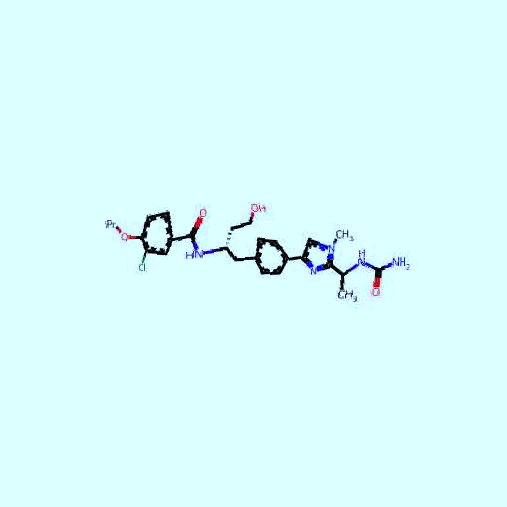 CC(C)Oc1ccc(C(=O)N[C@H](CCO)Cc2ccc(-c3cn(C)c(C(C)NC(N)=O)n3)cc2)cc1Cl